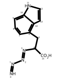 N=NN=NC(Cc1cccc2[nH]ccc12)C(=O)O